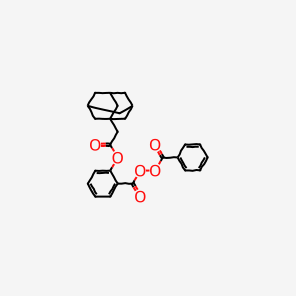 O=C(CC12CC3CC(CC(C3)C1)C2)Oc1ccccc1C(=O)OOC(=O)c1ccccc1